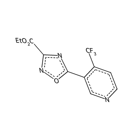 CCOC(=O)c1noc(-c2cnccc2C(F)(F)F)n1